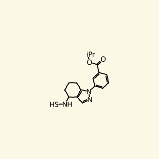 CC(C)OC(=O)c1cccc(-n2ncc3c2CCCC3NS)c1